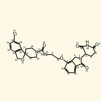 O=C1CCC(N2Cc3c(OCCNC(=O)N4CCC5(CC4)OCc4ccc(Cl)cc45)cccc3C2=O)C(=O)N1